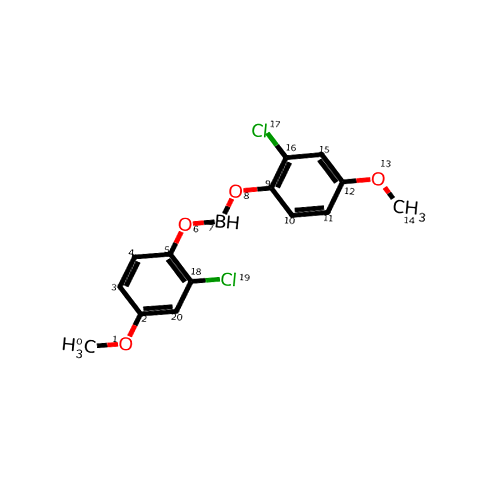 COc1ccc(OBOc2ccc(OC)cc2Cl)c(Cl)c1